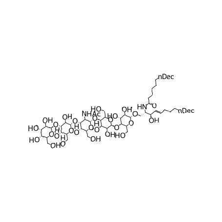 CCCCCCCCCCCCC/C=C/[C@@H](O)[C@H](CO[C@@H]1OC(CO)[C@@H](O[C@@H]2OC(CO)[C@H](O[C@@H]3OC(CO)[C@H](O)[C@H](O[C@@H]4OC(CO)[C@H](O)[C@H](O[C@H]5OC(CO)[C@H](O)[C@H](O)C5O)C4O)C3NC(C)=O)[C@H](O)C2O)[C@H](O)C1O)NC(=O)CCCCCCCCCCCCCCC